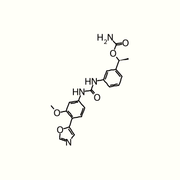 COc1cc(NC(=O)Nc2cccc([C@H](C)OC(N)=O)c2)ccc1-c1cnco1